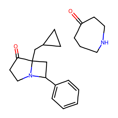 O=C1CCCNCC1.O=C1CCN2C(c3ccccc3)CC12CC1CC1